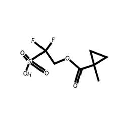 CC1(C(=O)OCC(F)(F)S(=O)(=O)O)CC1